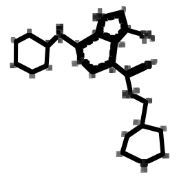 Cc1c[nH]c2c(NC3CCCCC3)ncc(C(=O)NCC3CCOCC3)c12